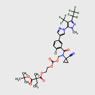 CCC(C)(C(=O)OCCOC(=O)OCN(C(=O)c1cc(-c2cnn(-c3c(C(F)(F)F)c(C(F)(F)C(F)(F)F)nn3C)c2)ccc1Cl)C1(C#N)CC1)C(=O)OC(C)(C)C